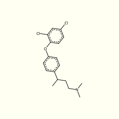 CC(CCN(C)C)c1ccc(Oc2ccc(Cl)cc2Cl)cc1